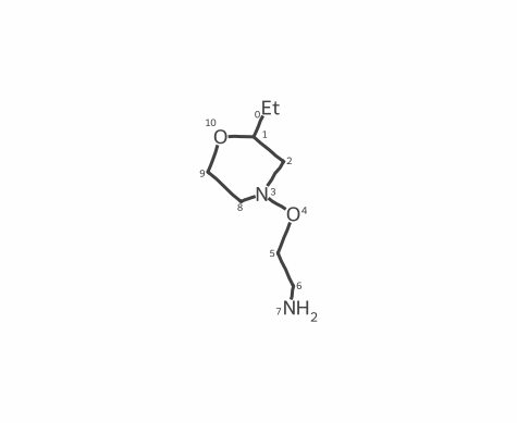 CCC1CN(OCCN)CCO1